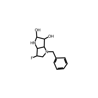 OC1NC2C(F)CN(Cc3ccccc3)C2C1O